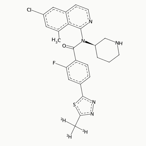 [2H]C([2H])([2H])c1nnc(-c2ccc(C(=O)N(c3nccc4cc(Cl)cc(C)c34)[C@@H]3CCCNC3)c(F)c2)s1